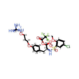 COc1ccc(Cl)cc1S(=O)(=O)N[C@@H](Cc1ccc(OCCCONC(=N)N)cc1)C(=O)OC(=O)C(F)(F)F